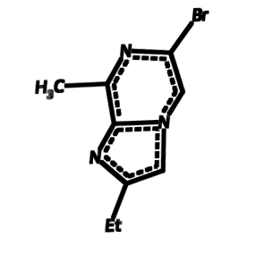 CCc1cn2cc(Br)nc(C)c2n1